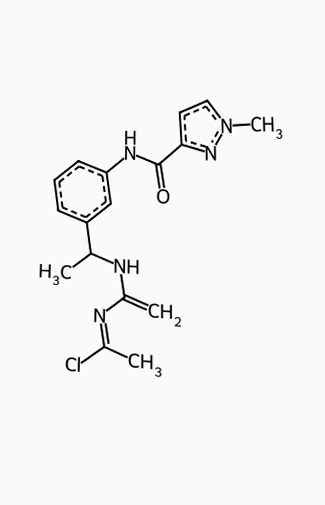 C=C(/N=C(\C)Cl)NC(C)c1cccc(NC(=O)c2ccn(C)n2)c1